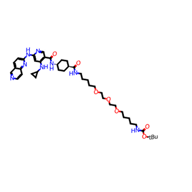 CC(C)(C)OC(=O)NCCCCCOCCOCCOCCCCCNC(=O)[C@H]1CC[C@H](NC(=O)c2cnc(Nc3ccc4cnccc4n3)cc2NC2CC2)CC1